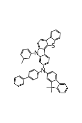 CC1C=CC=C(n2c3cc(N(c4ccc(-c5ccccc5)cc4)c4ccc5c(c4)C(C)(C)c4ccccc4-5)ccc3c3c4sc5ccccc5c4ccc32)C1